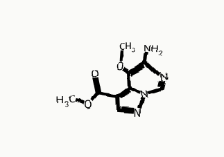 COC(=O)c1cnn2cnc(N)c(OC)c12